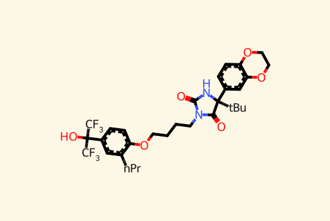 CCCc1cc(C(O)(C(F)(F)F)C(F)(F)F)ccc1OCCCCN1C(=O)NC(c2ccc3c(c2)OCCO3)(C(C)(C)C)C1=O